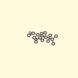 c1ccc(-c2cc(-c3ccccc3)cc([Si](c3ccccc3)(c3ccccc3)c3cc(-c4ccccc4)c(-n4c5ccccc5c5cc(-n6c7ccccc7c7cccc(-c8ccccc8-c8ccc9oc%10ccccc%10c9c8)c76)ccc54)c(-c4ccccc4)c3)c2)cc1